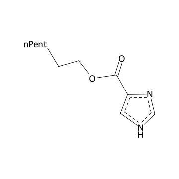 CCCCCCCOC(=O)c1c[nH]cn1